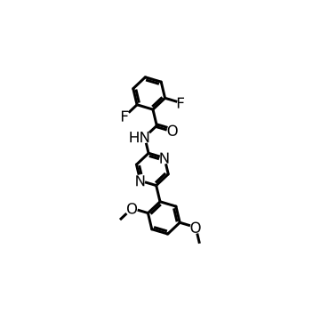 COc1ccc(OC)c(-c2cnc(NC(=O)c3c(F)cccc3F)cn2)c1